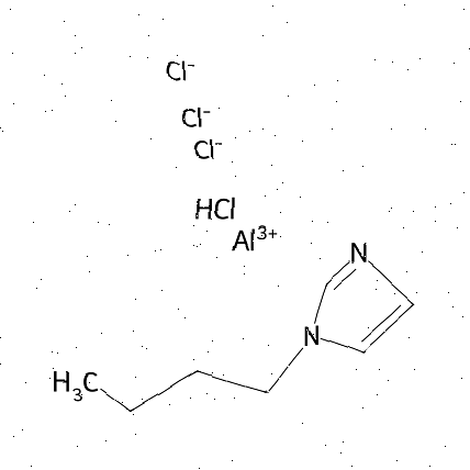 CCCCn1ccnc1.Cl.[Al+3].[Cl-].[Cl-].[Cl-]